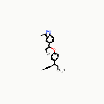 CC#CC(CC(=O)O)c1ccc(OC(CC(C)C)c2ccc3[nH]nc(C)c3c2)cc1